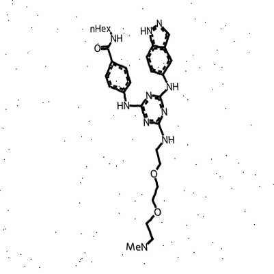 CCCCCCNC(=O)c1ccc(Nc2nc(NCCOCCOCCNC)nc(Nc3ccc4[nH]ncc4c3)n2)cc1